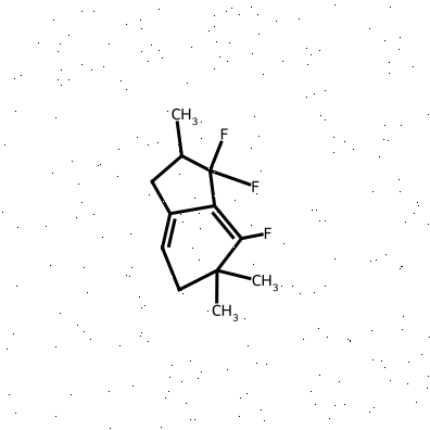 CC1CC2=CCC(C)(C)C(F)=C2C1(F)F